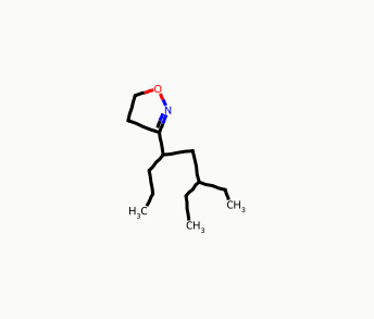 CCCC(CC(CC)CC)C1=NOCC1